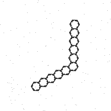 c1ccc2cc3cc4cc5cc6c(ccc7cc8cc9cc%10cc%11ccccc%11cc%10cc9cc8cc76)cc5cc4cc3cc2c1